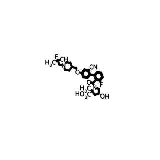 CC(C)(F)CN1CCC(COc2ccc(-c3cccc(F)c3C(=O)N3C[C@H](O)C[C@@]3(C)C(=O)O)c(C#N)c2)CC1